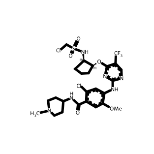 COc1cc(C(=O)NC2CCN(C)CC2)c(Cl)cc1Nc1ncc(C(F)(F)F)c(O[C@@H]2CCC[C@H]2NS(=O)(=O)CCl)n1